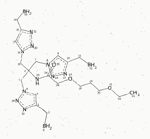 BCc1cn(CC(Cn2cc(CB)nn2)(Cn2cc(CB)nn2)NC(=O)COCCCOCC)nn1